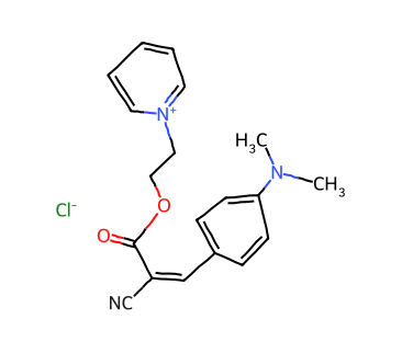 CN(C)c1ccc(C=C(C#N)C(=O)OCC[n+]2ccccc2)cc1.[Cl-]